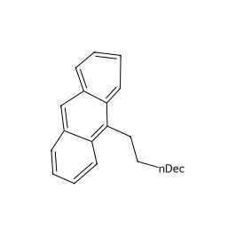 CCCCCCCCCCCCc1c2ccccc2cc2ccccc12